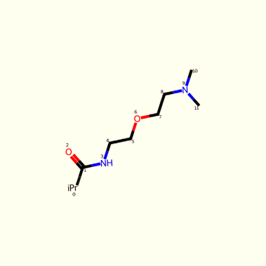 CC(C)C(=O)NCCOCCN(C)C